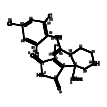 CCCCCCC1(C2=C(C)C(=O)NC2=O)CNCCN1C(=O)Nc1c(Cl)cc(Cl)cc1Cl